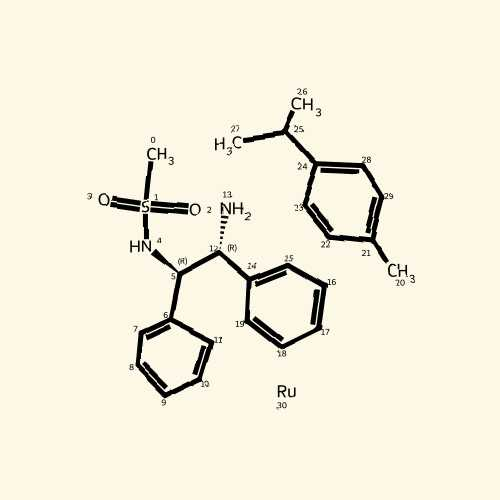 CS(=O)(=O)N[C@H](c1ccccc1)[C@H](N)c1ccccc1.Cc1ccc(C(C)C)cc1.[Ru]